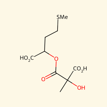 CSCCC(OC(=O)C(C)(O)C(=O)O)C(=O)O